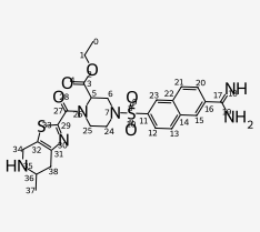 CCOC(=O)C1CN(S(=O)(=O)c2ccc3cc(C(=N)N)ccc3c2)CCN1C(=O)c1nc2c(s1)CNC(C)C2